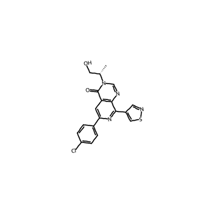 C[C@@H](CO)n1cnc2c(-c3cnsc3)nc(-c3ccc(Cl)cc3)cc2c1=O